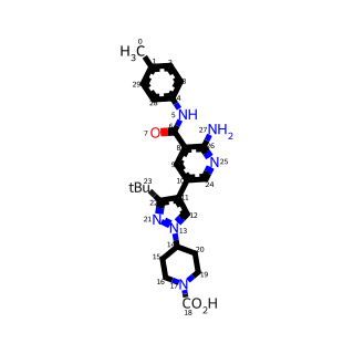 Cc1ccc(NC(=O)c2cc(-c3cn(C4CCN(C(=O)O)CC4)nc3C(C)(C)C)cnc2N)cc1